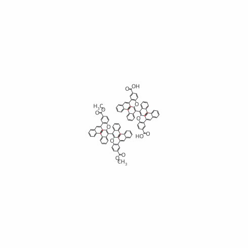 COC(=O)c1ccc(Oc2ccc3ccccc3c2-c2c(Oc3ccc(C(=O)OC)cc3-c3ccc4ccccc4c3)ccc3ccccc23)c(-c2ccc3ccccc3c2)c1.O=C(O)c1ccc(Oc2ccc3ccccc3c2-c2c(Oc3ccc(C(=O)O)cc3-c3ccc4ccccc4c3)ccc3ccccc23)c(-c2ccc3ccccc3c2)c1